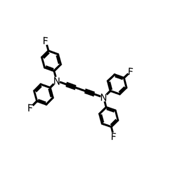 Fc1ccc(N(C#CC#CN(c2ccc(F)cc2)c2ccc(F)cc2)c2ccc(F)cc2)cc1